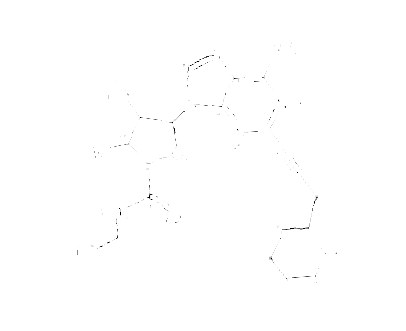 CCNC(=O)C1OC(n2cnc3c(N)nc(C#CCC4CCCCC4)nc32)C(O)C1O